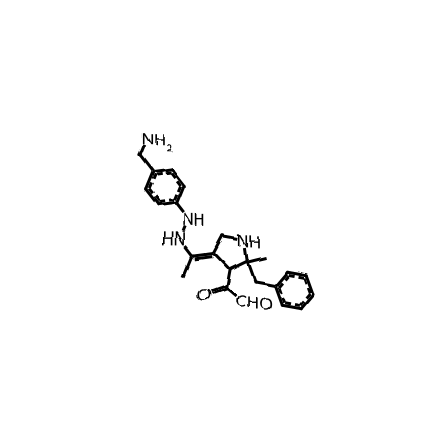 CC(NNc1ccc(CN)cc1)=C1CNC(C)(Cc2ccccc2)C1C(=O)C=O